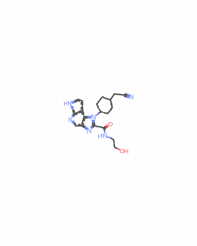 N#CCC1CCC(n2c(C(=O)NCCO)nc3cnc4[nH]ccc4c32)CC1